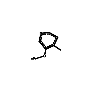 CCCOc1[c]nccc1C